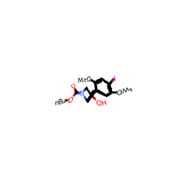 CCCCOC(=O)N1CC(O)(c2cc(OC)c(I)cc2OC)C1